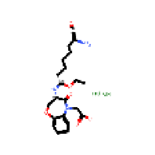 CCO[C@@H](CCCCCC(N)=C=O)N[C@H]1COc2ccccc2N(CC(=O)O)C1=O.Cl.Cl